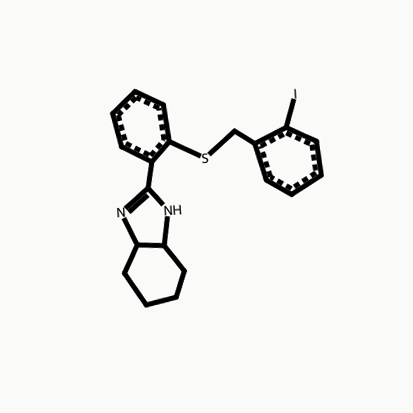 Ic1ccccc1CSc1ccccc1C1=NC2CCCCC2N1